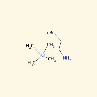 CCCCCCN.C[N+](C)(C)C